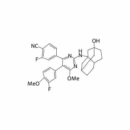 COc1ccc(-c2c(OC)nc(NC34CC5CCC3CCC(O)(C5)C4)nc2-c2ccc(C#N)c(F)c2)cc1F